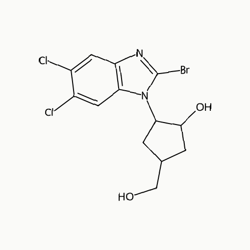 OCC1CC(O)C(n2c(Br)nc3cc(Cl)c(Cl)cc32)C1